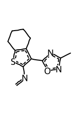 C=Nc1sc2c(c1-c1nc(C)no1)CCCC2